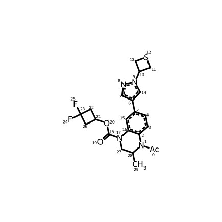 CC(=O)N1c2ccc(-c3cnn(C4CSC4)c3)cc2N(C(=O)OC2CC(F)(F)C2)CC1C